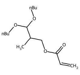 C=CC(=O)OCC(C)C(OCCCC)OCCCC